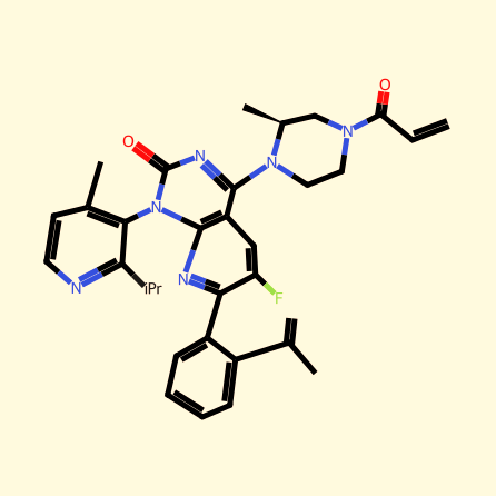 C=CC(=O)N1CCN(c2nc(=O)n(-c3c(C)ccnc3C(C)C)c3nc(-c4ccccc4C(=C)C)c(F)cc23)[C@@H](C)C1